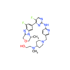 CC1COCc2nc3c(F)cc(-c4nc(Nc5ccc(CN6CCC(N(C)CCO)CC6)cn5)ncc4F)cc3n21